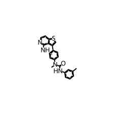 Cc1cccc(NC(=O)N(C)c2ccc(-c3csc4ccnc(N)c34)cc2)c1